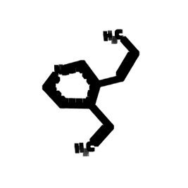 C=Cc1ccncc1/C=C\C